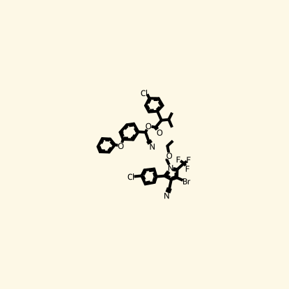 CC(C)C(C(=O)OC(C#N)c1cccc(Oc2ccccc2)c1)c1ccc(Cl)cc1.CCOCn1c(-c2ccc(Cl)cc2)c(C#N)c(Br)c1C(F)(F)F